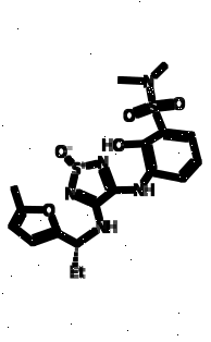 CC[C@@H](Nc1n[s+]([O-])nc1Nc1cccc(S(=O)(=O)N(C)C)c1O)c1ccc(C)o1